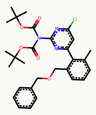 Cc1cccc(COCc2ccccc2)c1-c1cc(Cl)nc(N(C(=O)OC(C)(C)C)C(=O)OC(C)(C)C)n1